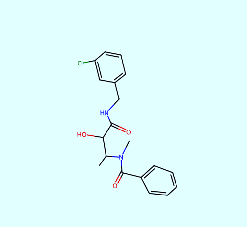 CC(C(O)C(=O)NCc1cccc(Cl)c1)N(C)C(=O)c1ccccc1